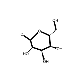 [O]C1O[C@H](CO)[C@@H](O)[C@@H](O)[C@@H]1O